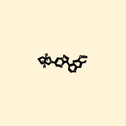 COc1cc2c(-c3cnn4cc(N5C[C@H]6CCC[C@H]6C5)cnc34)ccnc2cc1F